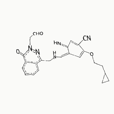 N#CC1=CC(=N)/C(=C\NCc2nn(CC=O)c(=O)c3ccccc23)C=C1OCCC1CC1